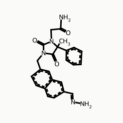 CC1(c2ccccc2)C(=O)N(Cc2ccc3ccc(C=NN)cc3c2)C(=O)N1CC(N)=O